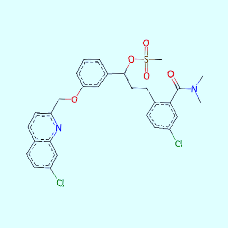 CN(C)C(=O)c1cc(Cl)ccc1CCC(OS(C)(=O)=O)c1cccc(OCc2ccc3ccc(Cl)cc3n2)c1